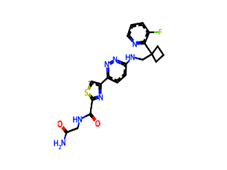 NC(=O)CNC(=O)c1nc(-c2ccc(NCC3(c4ncccc4F)CCC3)nn2)[c]s1